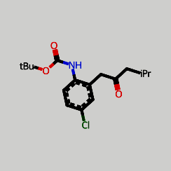 CC(C)CC(=O)Cc1cc(Cl)ccc1NC(=O)OC(C)(C)C